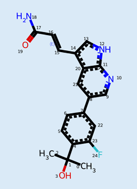 CC(C)(O)c1ccc(-c2cnc3[nH]cc(/C=C/C(N)=O)c3c2)cc1F